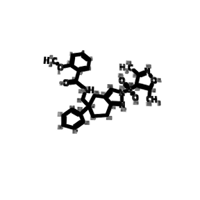 COc1ccccc1C(=O)NCC1(c2ccccc2)CCc2nn(S(=O)(=O)c3c(C)noc3C)cc2C1